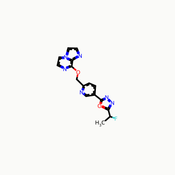 CC(F)c1nnc(-c2ccc(COc3nccn4ccnc34)nc2)o1